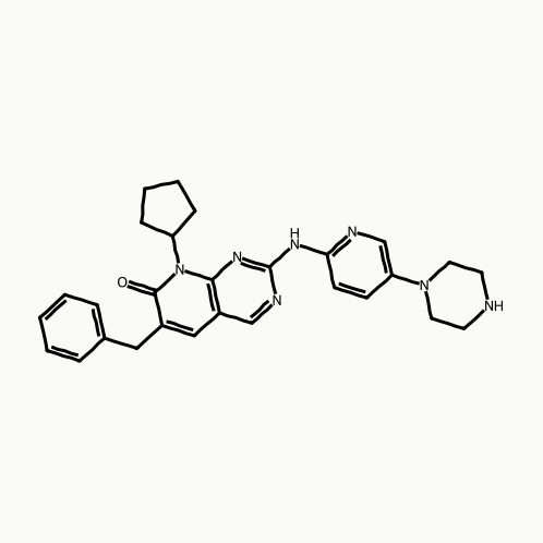 O=c1c(Cc2ccccc2)cc2cnc(Nc3ccc(N4CCNCC4)cn3)nc2n1C1CCCC1